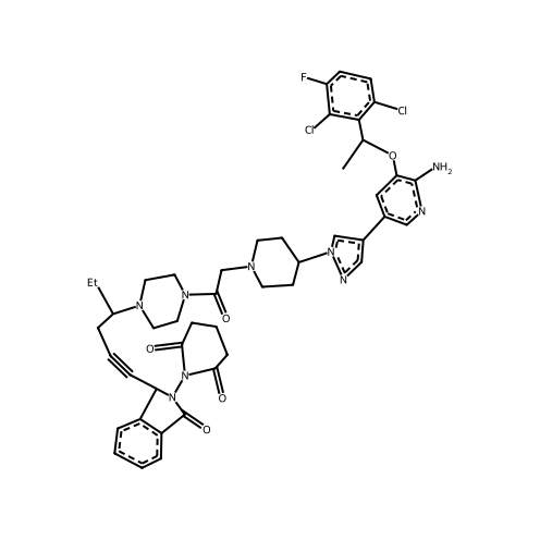 CCC(CC#CC1c2ccccc2C(=O)N1N1C(=O)CCCC1=O)N1CCN(C(=O)CN2CCC(n3cc(-c4cnc(N)c(OC(C)c5c(Cl)ccc(F)c5Cl)c4)cn3)CC2)CC1